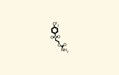 NC(=O)OCCS(=O)(=O)c1ccc(C(F)(F)F)cc1